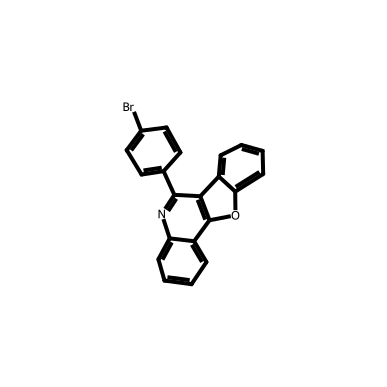 Brc1ccc(-c2nc3ccccc3c3oc4ccccc4c23)cc1